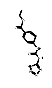 CCOC(=O)c1ccc(NC(=O)Nc2nnn[nH]2)cc1